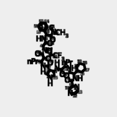 CCC[C@H](NC(=O)[C@@H](NC(=O)c1cnccn1)C1CCCCC1)C(=O)N[C@H]1CNC[C@H]1C(=O)N[C@@H](CCC)C(OC(=O)C(F)(F)F)C(=O)NCC(=O)N[C@H](C(=O)N(C)C)c1ccccc1